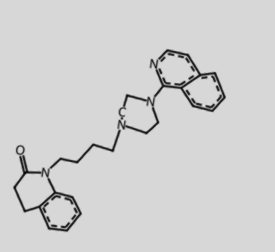 O=C1CCc2ccccc2N1CCCCN1CCN(c2nccc3ccccc23)CC1